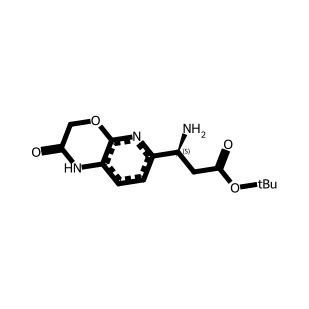 CC(C)(C)OC(=O)C[C@H](N)c1ccc2c(n1)OCC(=O)N2